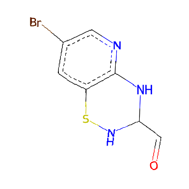 O=CC1NSc2cc(Br)cnc2N1